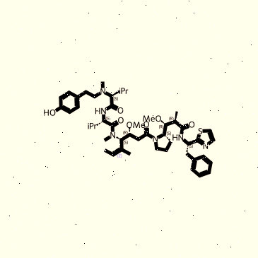 C/C=C(/C)[C@@H]([C@@H](CC(=O)N1CCC[C@H]1[C@H](OC)[C@@H](C)C(=O)N[C@@H](Cc1ccccc1)c1nccs1)OC)N(C)C(=O)[C@@H](NC(=O)[C@H](C(C)C)N(C)CCc1ccc(O)cc1)C(C)C